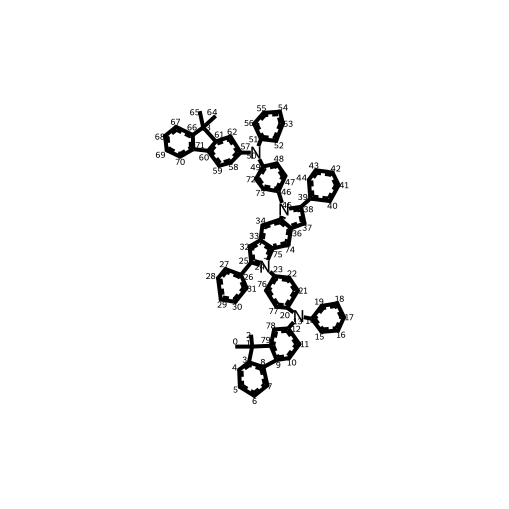 CC1(C)c2ccccc2-c2ccc(N(c3ccccc3)c3ccc(-n4c(-c5ccccc5)cc5cc6c(cc(-c7ccccc7)n6-c6ccc(N(c7ccccc7)c7ccc8c(c7)C(C)(C)c7ccccc7-8)cc6)cc54)cc3)cc21